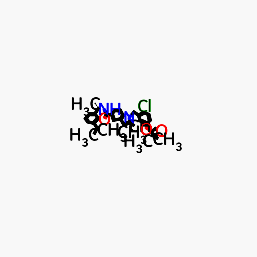 Cc1c(C)n(Cc2cc(O[C@@H](C=O)C(C)C)ccc2Cl)c2ccc(C(=O)N[C@@H](C)c3cccc(C(C)C)c3)cc12